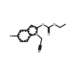 CCOC(=O)Oc1cc2cc(F)ccc2n1CC#N